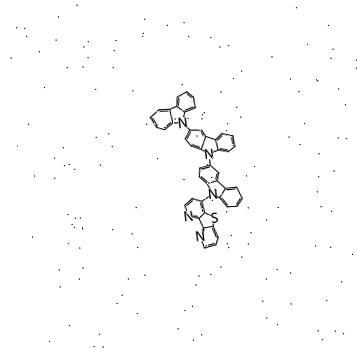 c1cnc2c(c1)sc1c(-n3c4ccccc4c4cc(-n5c6ccccc6c6cc(-n7c8ccccc8c8ccccc87)ccc65)ccc43)ccnc12